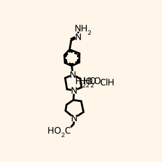 Cl.NN=Cc1ccc(N2CCN(C3CCN(CC(=O)O)CC3)CC2)cc1.O.O.O